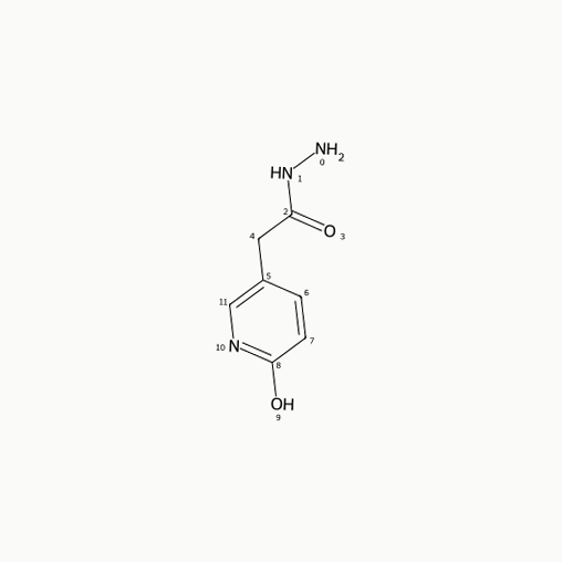 NNC(=O)Cc1ccc(O)nc1